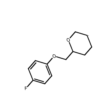 Fc1ccc(OCC2CC[CH]CO2)cc1